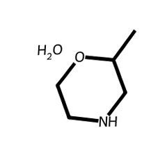 CC1CNCCO1.O